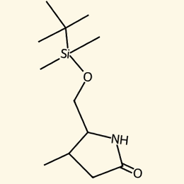 CC1CC(=O)NC1CO[Si](C)(C)C(C)(C)C